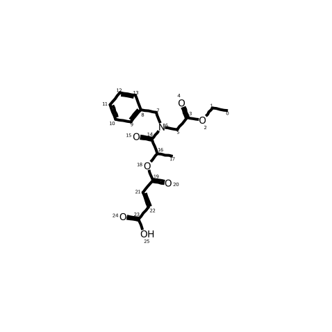 CCOC(=O)CN(Cc1ccccc1)C(=O)C(C)OC(=O)C=CC(=O)O